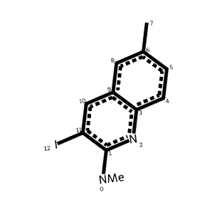 CNc1nc2ccc(C)cc2cc1I